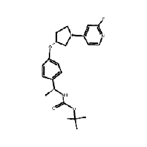 C[C@H](NC(=O)OC(C)(C)C)c1ccc(O[C@@H]2CCN(c3ccnc(F)c3)C2)cc1